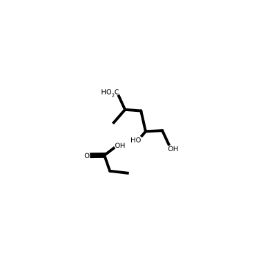 CC(CC(O)CO)C(=O)O.CCC(=O)O